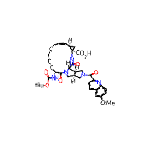 COc1ccc2nc(C(=O)N3C[C@H]4CN5C(=O)[C@H](NC(=O)OC(C)(C)C)CCCCC/C=C\[C@H]6C[C@@]6(C(=O)O)NC(=O)[C@@H]5[C@H]4C3)ccc2c1